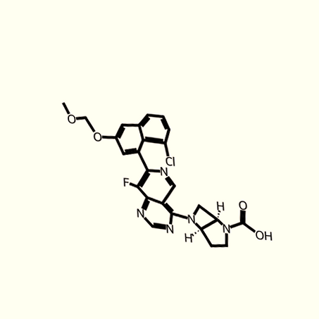 COCOc1cc(-c2ncc3c(N4C[C@@H]5[C@H]4CCN5C(=O)O)ncnc3c2F)c2c(Cl)cccc2c1